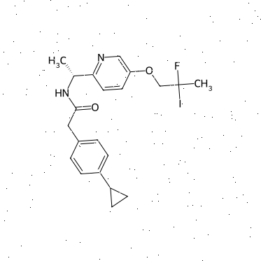 C[C@@H](NC(=O)Cc1ccc(C2CC2)cc1)c1ccc(OCC(C)(F)I)cn1